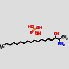 CCCCCCCCCCCCCC=CC(O)C(C)N.O=P(O)(O)O